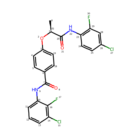 C[C@H](Oc1ccc(C(=O)Nc2cccc(Cl)c2F)cc1)C(=O)Nc1ccc(Cl)cc1F